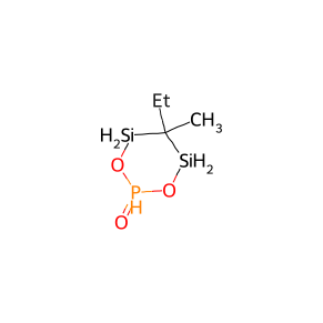 CCC1(C)[SiH2]O[PH](=O)O[SiH2]1